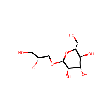 OC[C@@H](O)CO[C@H]1O[C@H](CO)[C@@H](O)[C@H](O)[C@H]1O